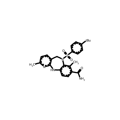 Cc1ccc2c(n1)Nc1ccc(C(N)=O)c(C)c1N(S(=O)(=O)c1ccc(C(C)(C)C)cc1)C2